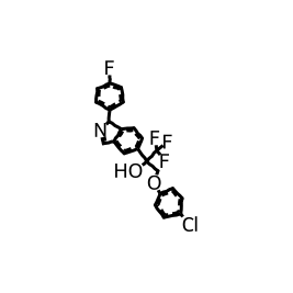 OC(COc1ccc(Cl)cc1)(c1ccc2c(c1)C=NC2c1ccc(F)cc1)C(F)(F)F